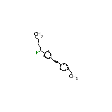 CCCCC=C(F)c1ccc(C#Cc2ccc(CC)cc2)cc1